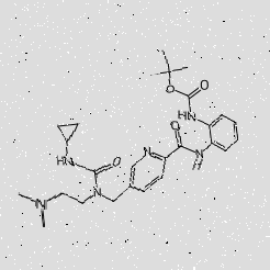 CN(C)CCN(Cc1ccc(C(=O)Nc2ccccc2NC(=O)OC(C)(C)C)nc1)C(=O)NC1CC1